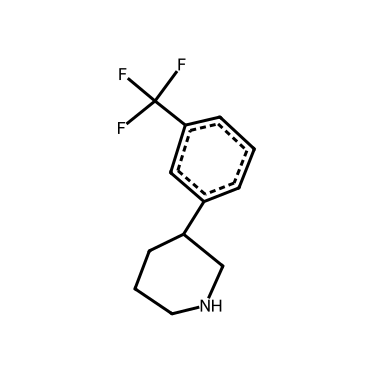 FC(F)(F)c1cccc(C2CCCNC2)c1